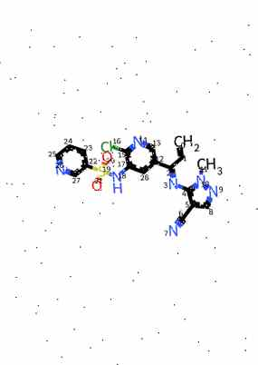 C=C/C(=N\c1c(C#N)cnn1C)c1cnc(Cl)c(NS(=O)(=O)c2cccnc2)c1